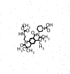 CCc1cc2c(cc1C(=O)N(C(C)C)[C@@H]1CCCN(C(=O)O)C1)N(CCNC(=O)OC)C(=O)C(C)(C)C2